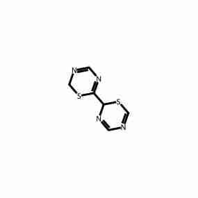 C1=NC=NC(C2=NC=NCS2)S1